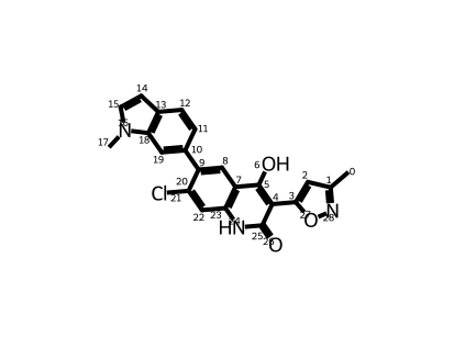 Cc1cc(-c2c(O)c3cc(-c4ccc5ccn(C)c5c4)c(Cl)cc3[nH]c2=O)on1